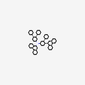 c1ccc(-c2ccc(N(c3ccc(-c4cc5ccccc5c5ccccc45)c(-c4ccccc4)c3)c3cc4ccccc4c4ccccc34)cc2-c2ccccc2)cc1